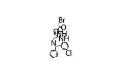 C=CC1(NCC(=O)CBr)CN=C(c2ccccc2)c2cc(Cl)ccc2N1